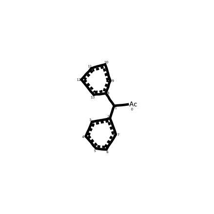 CC(=O)C(c1ccccc1)c1ccccc1